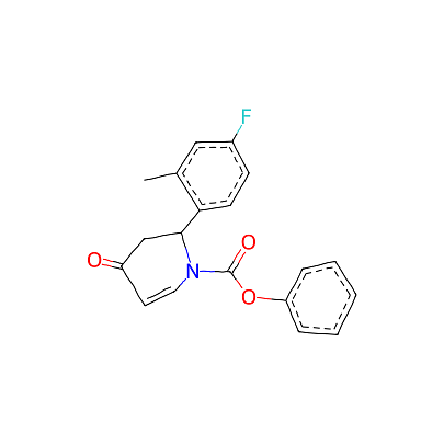 Cc1cc(F)ccc1C1CC(=O)C=CN1C(=O)Oc1ccccc1